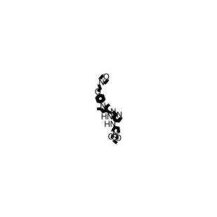 CCS(=O)(=O)N1CC[C@H](Nc2ccnc3nc(-c4cc(C)n(-c5ccc(OCCN6CCOCC6)cc5)c4C)[nH]c23)C1